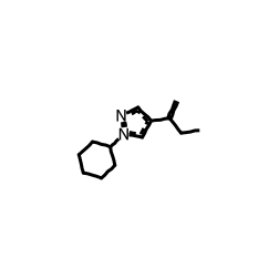 C=C(CC)c1cnn(C2CCCCC2)c1